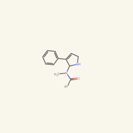 CC(C)C(=O)N(C)C1NCC=C1c1ccccc1